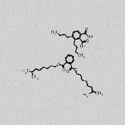 CC(C)CCCCCCOC(=O)c1ccccc1C(=O)OCCCCCCC(C)C.CCCCc1ccc(C(=O)O)c(C(=O)O)c1CCCC